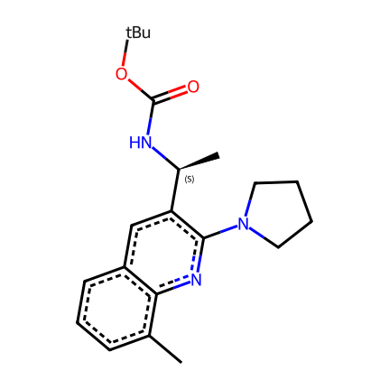 Cc1cccc2cc([C@H](C)NC(=O)OC(C)(C)C)c(N3CCCC3)nc12